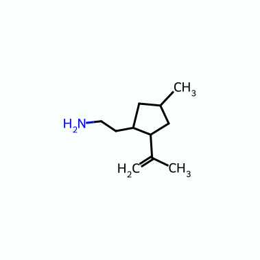 C=C(C)C1CC(C)CC1CCN